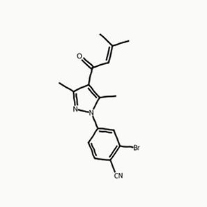 CC(C)=CC(=O)c1c(C)nn(-c2ccc(C#N)c(Br)c2)c1C